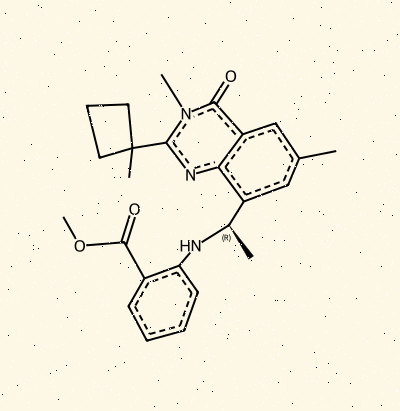 COC(=O)c1ccccc1N[C@H](C)c1cc(C)cc2c(=O)n(C)c(C3(C)CCC3)nc12